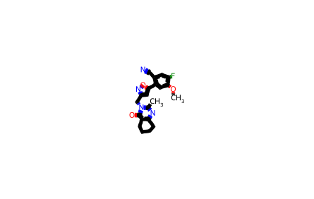 COc1cc(-c2cc(Cn3c(C)nc4c(c3=O)CCCC4)no2)c(C#N)cc1F